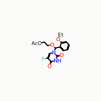 CCOc1ccccc1C(OCCOC(C)=O)n1cc(F)c(=O)[nH]c1=O